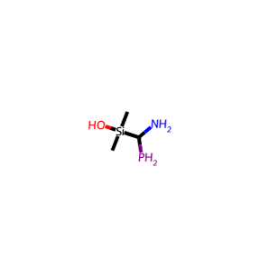 C[Si](C)(O)C(N)P